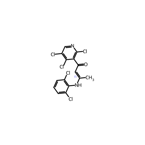 C/C(=C\C(=O)c1c(Cl)ncc(Cl)c1Cl)Nc1c(Cl)cccc1Cl